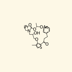 CC(=O)OC(C)OC(=O)N(CC(C)C)CC(O)COc1c(C)csc1C(=O)CCc1ccccc1